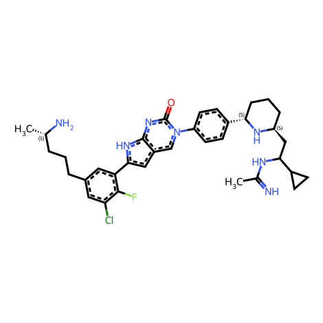 CC(=N)NC(C[C@@H]1CCC[C@@H](c2ccc(-n3cc4cc(-c5cc(CCC[C@H](C)N)cc(Cl)c5F)[nH]c4nc3=O)cc2)N1)C1CC1